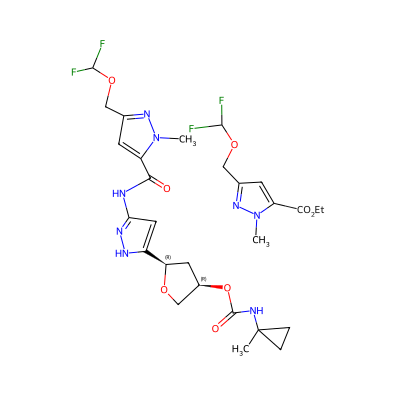 CCOC(=O)c1cc(COC(F)F)nn1C.Cn1nc(COC(F)F)cc1C(=O)Nc1cc([C@H]2C[C@@H](OC(=O)NC3(C)CC3)CO2)[nH]n1